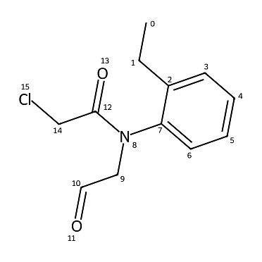 CCc1ccccc1N(CC=O)C(=O)CCl